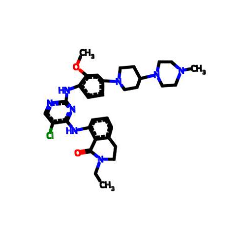 CCN1CCc2cccc(Nc3nc(Nc4ccc(N5CCC(N6CCN(C)CC6)CC5)cc4OC)ncc3Cl)c2C1=O